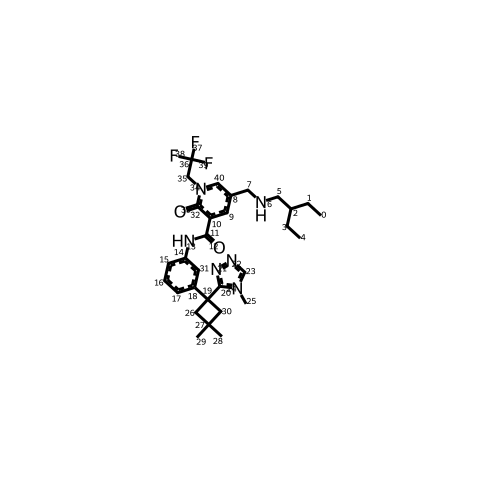 CCC(CC)CNCc1cc(C(=O)Nc2cccc(C3(c4nncn4C)CC(C)(C)C3)c2)c(=O)n(CC(F)(F)F)c1